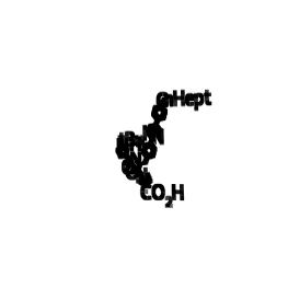 CCCCCCCOc1ccc(-c2cnc(-c3ccc(C[C@H](NC(=O)c4ccn(C(C)(C)C)c4)C(=O)N4CC[C@H](C(=O)O)C4)cc3)nc2)cc1